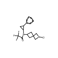 O=C(N(C1CC2(C1)CN(Cl)C2)C1CC1c1ccccc1)C(F)(F)F